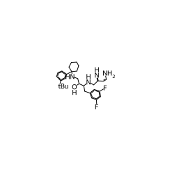 CC(C)(C)c1cccc(C2(NCC(O)C(Cc3cc(F)cc(F)c3)NCC(=N)/C=C\N)CCCCC2)c1